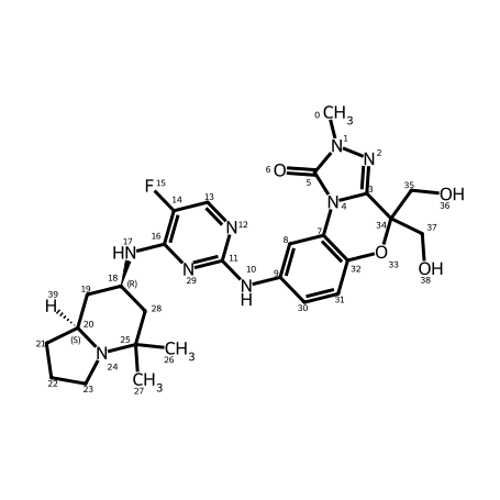 Cn1nc2n(c1=O)-c1cc(Nc3ncc(F)c(N[C@@H]4C[C@@H]5CCCN5C(C)(C)C4)n3)ccc1OC2(CO)CO